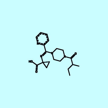 CCC(C)C(=O)N1CCN(C(=NC2(C(=O)O)CC2)c2ccccn2)CC1